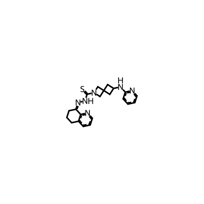 S=C(N/N=C1/CCCc2cccnc21)N1CC2(CC(Nc3ccccn3)C2)C1